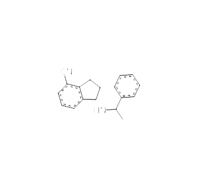 CC(N[C@H]1CCc2c(C#N)cccc21)c1ccccc1